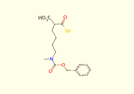 CN(CCCCC(C(=O)O)C(=O)S)C(=O)OCc1ccccc1